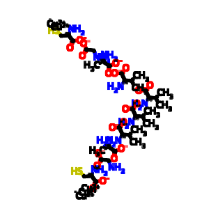 CC(C)[C@H](N)C(=O)[O-].CC(C)[C@H](N)C(=O)[O-].CC(C)[C@H](N)C(=O)[O-].CC(C)[C@H](N)C(=O)[O-].C[C@H](N)C(=O)[O-].C[C@H](N)C(=O)[O-].NCC(=O)[O-].NCC(=O)[O-].N[C@@H](CS)C(=O)[O-].N[C@@H](CS)C(=O)[O-].[Cu+2].[Cu+2].[Cu+2].[Cu+2].[Cu+2]